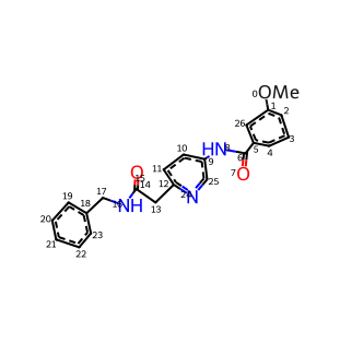 COc1cccc(C(=O)Nc2ccc(CC(=O)NCc3ccccc3)nc2)c1